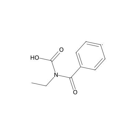 CCN(C(=O)O)C(=O)c1cc[c]cc1